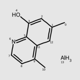 Cc1cc(O)c2nccc(C)c2c1.[AlH3]